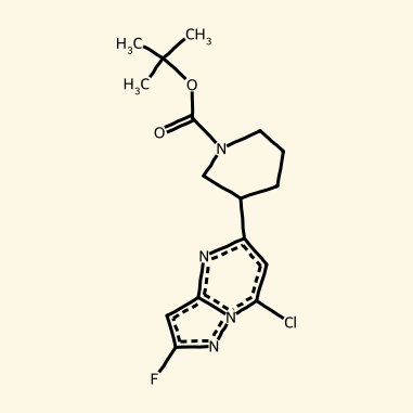 CC(C)(C)OC(=O)N1CCCC(c2cc(Cl)n3nc(F)cc3n2)C1